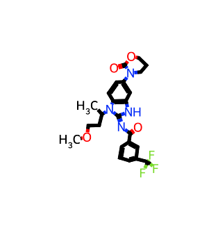 COCCC(C)n1/c(=N/C(=O)c2cccc(C(F)(F)F)c2)[nH]c2cc(N3CCCOC3=O)ccc21